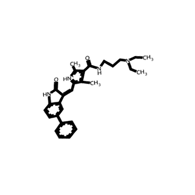 CCN(CC)CCCNC(=O)c1c(C)[nH]c(C=C2C(=O)Nc3ccc(-c4ccccc4)cc32)c1C